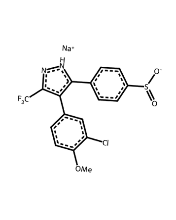 COc1ccc(-c2c(C(F)(F)F)n[nH]c2-c2ccc(S(=O)[O-])cc2)cc1Cl.[Na+]